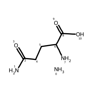 N.NC(=O)CCC(N)C(=O)O